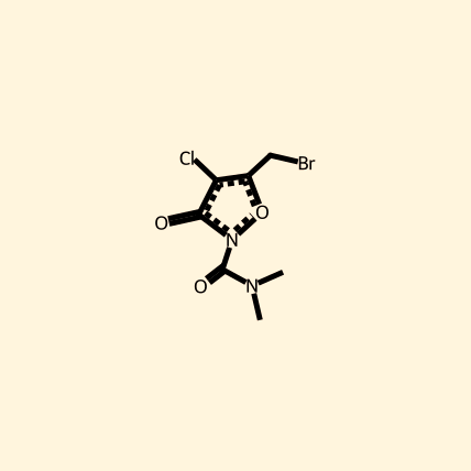 CN(C)C(=O)n1oc(CBr)c(Cl)c1=O